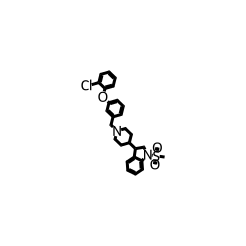 CS(=O)(=O)N1CC(C2CCN(Cc3cccc(Oc4ccccc4Cl)c3)CC2)c2ccccc21